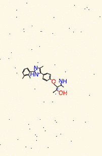 CC(=N)/C(COc1ccc(-c2[nH]c(-c3cccc(C)c3C)nc2C)cc1)=C(/C)O